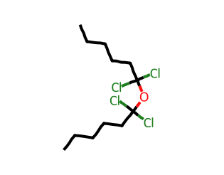 CCCCCC(Cl)(Cl)OC(Cl)(Cl)CCCCC